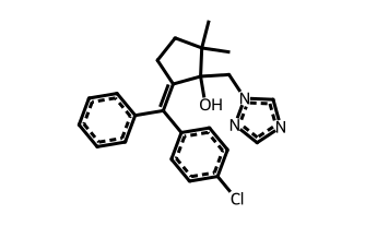 CC1(C)CCC(=C(c2ccccc2)c2ccc(Cl)cc2)C1(O)Cn1cncn1